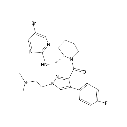 CN(C)CCn1cc(-c2ccc(F)cc2)c(C(=O)N2CCCC[C@H]2CNc2ncc(Br)cn2)n1